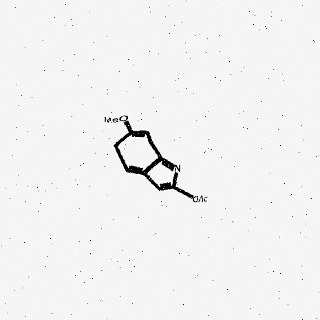 COC1=CC2=NC(OC(C)=O)=CC2=CC1